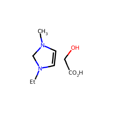 CCN1C=CN(C)C1.O=C(O)CO